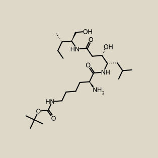 CC[C@H](C)[C@@H](CO)NC(=O)C[C@H](O)[C@H](CC(C)C)NC(=O)[C@@H](N)CCCCNC(=O)OC(C)(C)C